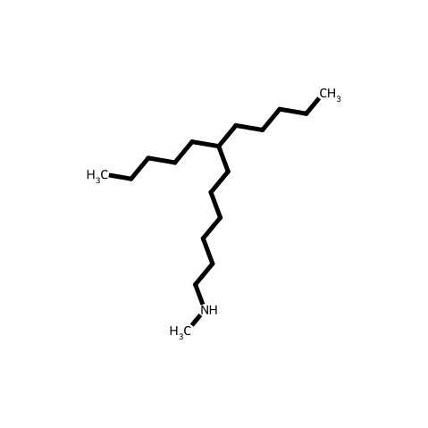 CCCCCC(CCCCC)CCCCCCNC